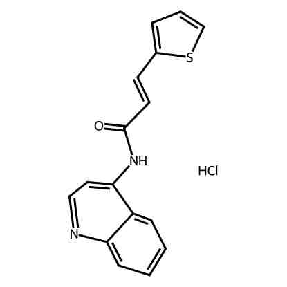 Cl.O=C(/C=C/c1cccs1)Nc1ccnc2ccccc12